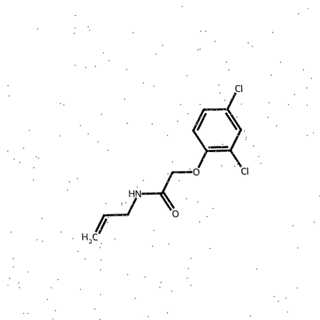 C=CCNC(=O)COc1ccc(Cl)cc1Cl